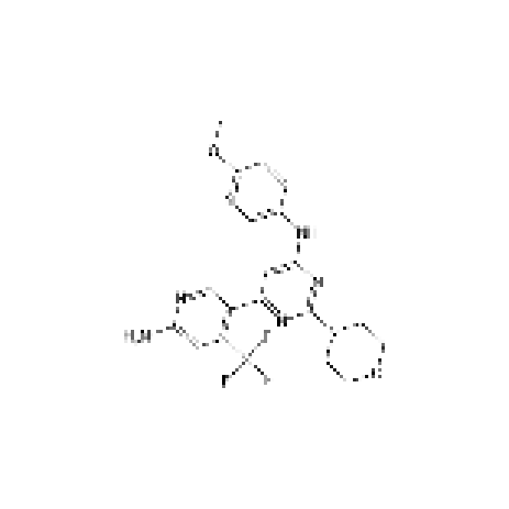 COc1ccc(Nc2cc(-c3cnc(N)cc3C(F)(F)F)nc(N3CCOCC3)n2)cn1